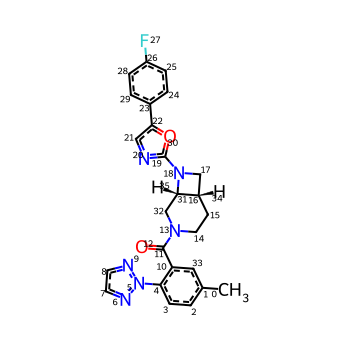 Cc1ccc(-n2nccn2)c(C(=O)N2CC[C@H]3CN(c4ncc(-c5ccc(F)cc5)o4)[C@H]3C2)c1